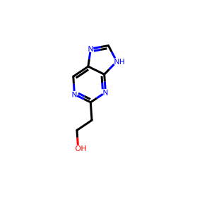 OCCc1ncc2nc[nH]c2n1